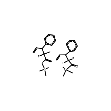 C=CC(c1ccccc1)C(F)(F)C(=C)O[Si](C)(C)C.C=CC(c1ccccc1)C(F)(F)C(=O)[Si](C)(C)C